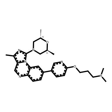 Cc1nc(N2C[C@H](C)O[C@@H](C)C2)n2c1cnc1ccc(-c3ccc(OCCCN(C)C)nc3)cc12